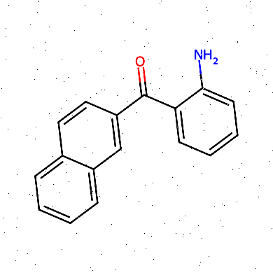 Nc1ccccc1C(=O)c1ccc2ccccc2c1